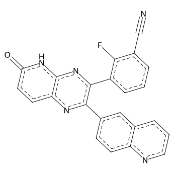 N#Cc1cccc(-c2nc3[nH]c(=O)ccc3nc2-c2ccc3ncccc3c2)c1F